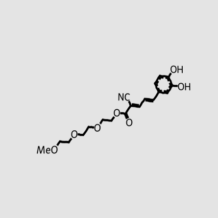 COCCOCCOCCOC(=O)/C(C#N)=C/C=C/c1ccc(O)c(O)c1